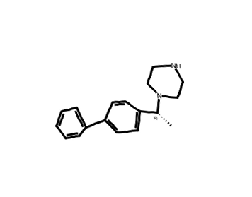 C[C@H](c1ccc(-c2ccccc2)cc1)N1CCNCC1